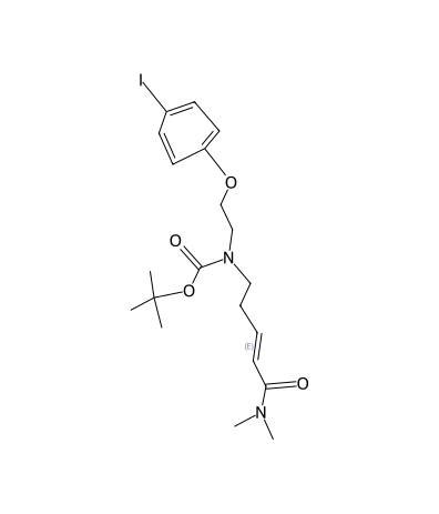 CN(C)C(=O)/C=C/CCN(CCOc1ccc(I)cc1)C(=O)OC(C)(C)C